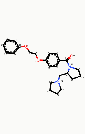 O=C(c1ccc(OCCOc2ccccc2)cc1)N1CCCC1CN1CCCC1